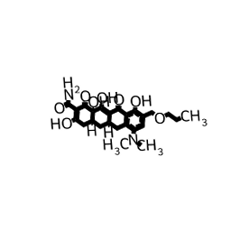 CCCOCc1cc(N(C)C)c2c(c1O)C(=O)C1=C(O)[C@]3(O)C(=O)C(C(N)=O)=C(O)C[C@@H]3C[C@@H]1C2